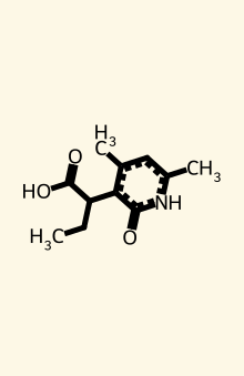 CCC(C(=O)O)c1c(C)cc(C)[nH]c1=O